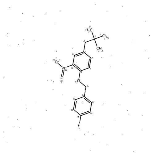 CC(C)(C)Cc1ccc(OCc2ccc(F)cc2)c([N+](=O)[O-])c1